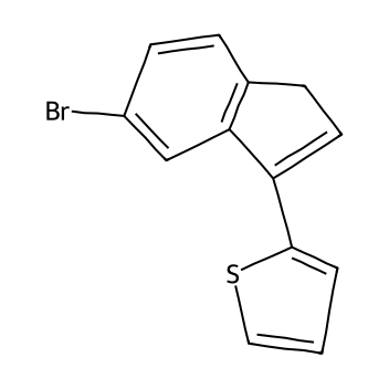 Brc1ccc2c(c1)C(c1cccs1)=CC2